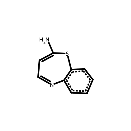 NC1=CC=Nc2ccccc2S1